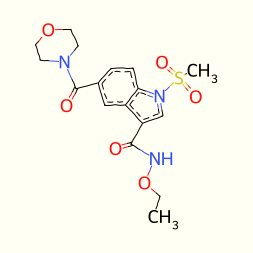 CCONC(=O)c1cn(S(C)(=O)=O)c2ccc(C(=O)N3CCOCC3)cc12